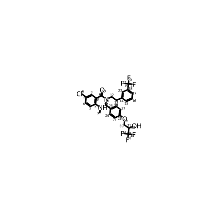 CNc1ccc(Cl)cc1C(=O)N(CCc1cccc(C(F)(F)F)c1)Cc1ccc(OCC(O)C(F)(F)F)cc1